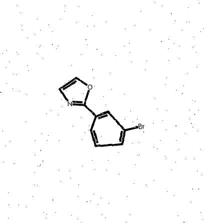 Brc1cc[c]c(-c2ncco2)c1